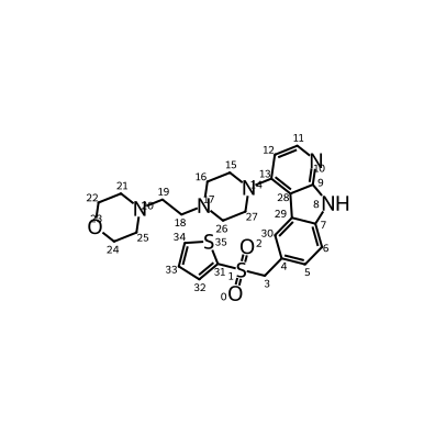 O=S(=O)(Cc1ccc2[nH]c3nccc(N4CCN(CCN5CCOCC5)CC4)c3c2c1)c1cccs1